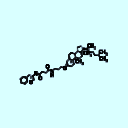 CC(C)CCC[C@@H](C)[C@H]1CCC2C3CC=C4C[C@@H](OCCCNC(=O)CCC(=O)[N][C@H](C=O)Cc5ccccc5)CC[C@]4(C)C3CC[C@@]21C